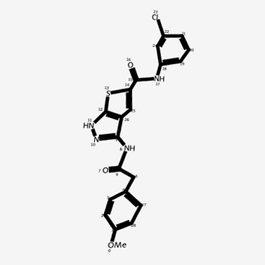 COc1ccc(CC(=O)Nc2n[nH]c3sc(C(=O)Nc4cccc(Cl)c4)cc23)cc1